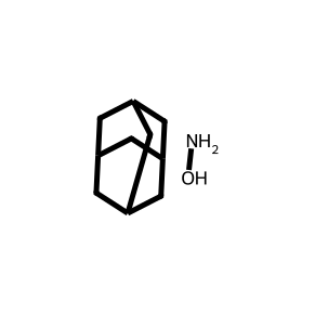 C1C2CC3CC1CC(C2)C3.NO